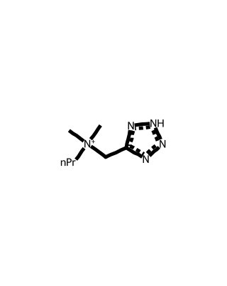 CCC[N+](C)(C)Cc1nn[nH]n1